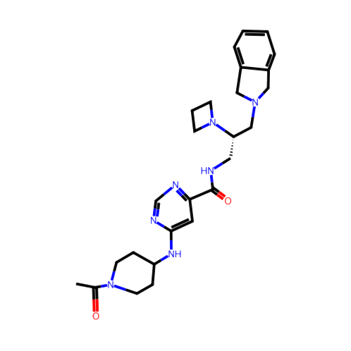 CC(=O)N1CCC(Nc2cc(C(=O)NC[C@@H](CN3Cc4ccccc4C3)N3CCC3)ncn2)CC1